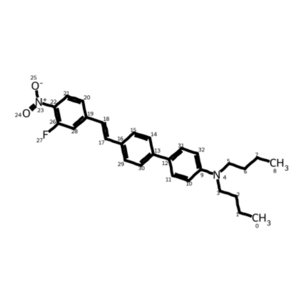 CCCCN(CCCC)c1ccc(-c2ccc(C=Cc3ccc([N+](=O)[O-])c(F)c3)cc2)cc1